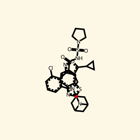 O=C(NS(=O)(=O)N1CCCC1)c1ccc2nc(N3C4CC(NCc5c(-c6c(Cl)cccc6Cl)noc5C5CC5)CC3C4)sc2c1